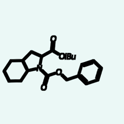 CC(C)COC(=O)C1CC2CCCCC2N1C(=O)OCc1ccccc1